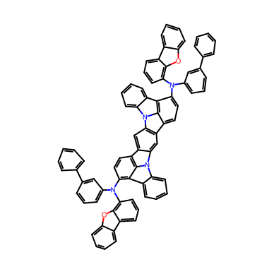 c1ccc(-c2cccc(N(c3cccc4c3oc3ccccc34)c3ccc4c5cc6c(cc5n5c7ccccc7c3c45)c3ccc(N(c4cccc(-c5ccccc5)c4)c4cccc5c4oc4ccccc45)c4c5ccccc5n6c34)c2)cc1